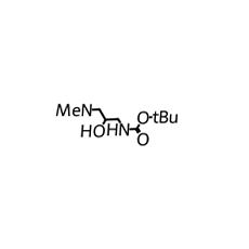 CNCC(O)CNC(=O)OC(C)(C)C